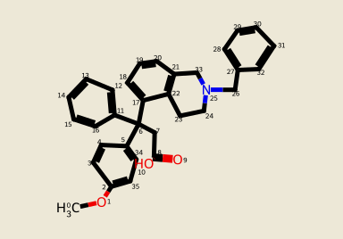 COc1ccc(C(CC(=O)O)(c2ccccc2)c2cccc3c2CCN(Cc2ccccc2)C3)cc1